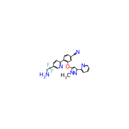 Cn1nc(-c2ccccn2)cc1Oc1cc(C#N)ccc1-c1ccc(C(F)(F)CN)cn1